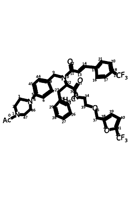 CC(=O)N1CCN(c2ccc(CN(C(=O)C=Cc3ccc(C(F)(F)F)cc3)C(Cc3ccccc3)C(=O)N(C)CCOCc3ccc(C(F)(F)F)o3)cc2)CC1